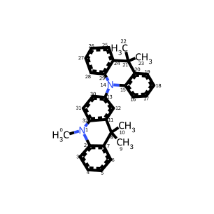 CN1c2ccccc2C(C)(C)c2cc(N3c4ccccc4C(C)(C)c4ccccc43)ccc21